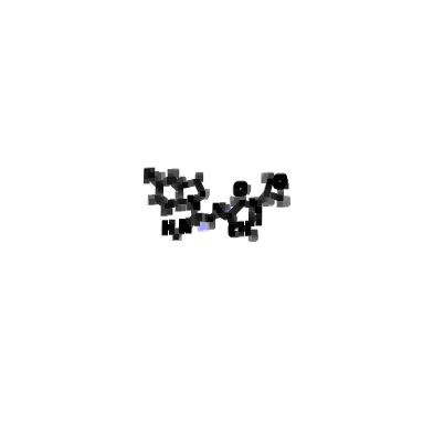 C/C(=N\C=C(\N)N1CCc2cc(F)ccc21)C(=O)NC1COC1